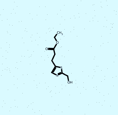 CCOC(=O)CCc1cnc(CO)s1